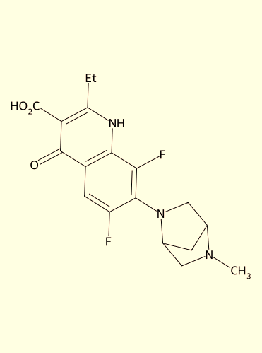 CCc1[nH]c2c(F)c(N3CC4CC3CN4C)c(F)cc2c(=O)c1C(=O)O